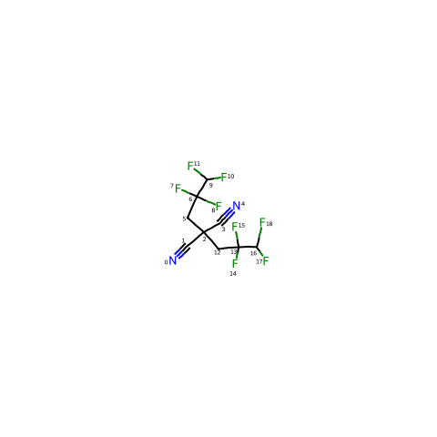 N#CC(C#N)(CC(F)(F)C(F)F)CC(F)(F)C(F)F